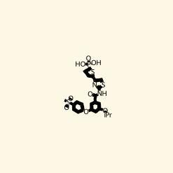 CC(C)Oc1cc(Oc2ccc(S(C)(=O)=O)cc2)cc(C(=O)Nc2nc(-c3ccc(P(=O)(O)O)s3)cs2)c1